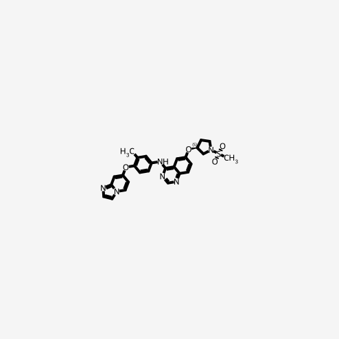 Cc1cc(Nc2ncnc3ccc(O[C@H]4CCN(S(C)(=O)=O)C4)cc23)ccc1Oc1ccn2ccnc2c1